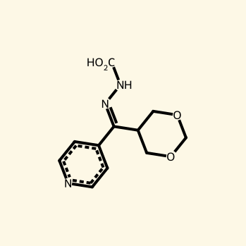 O=C(O)NN=C(c1ccncc1)C1COCOC1